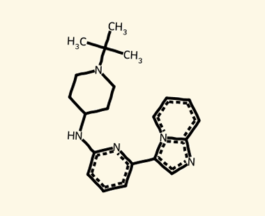 CC(C)(C)N1CCC(Nc2cccc(-c3cnc4ccccn34)n2)CC1